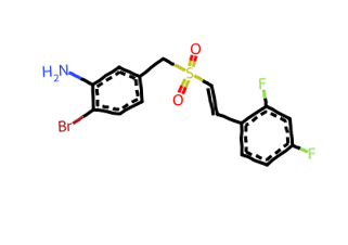 Nc1cc(CS(=O)(=O)C=Cc2ccc(F)cc2F)ccc1Br